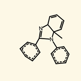 CC12C=CC=CC1N=C(c1ccccc1)N2c1ccccc1